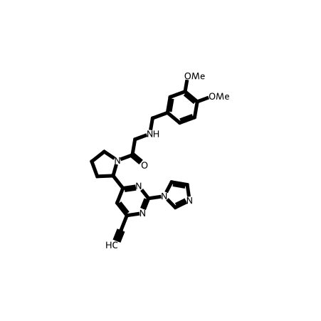 C#Cc1cc(C2CCCN2C(=O)CNCc2ccc(OC)c(OC)c2)nc(-n2ccnc2)n1